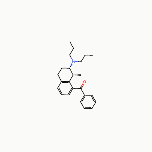 CCCN(CCC)[C@@H]1CCc2cccc(C(=O)c3ccccc3)c2[C@@H]1C